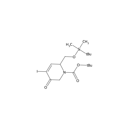 CC(C)(C)OC(=O)N1CC(=O)C(I)=CC1CO[Si](C)(C)C(C)(C)C